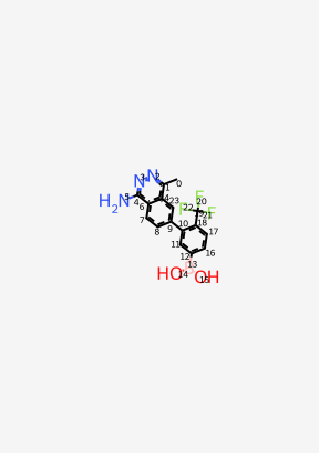 Cc1nnc(N)c2ccc(-c3cc(B(O)O)ccc3C(F)(F)F)cc12